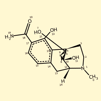 CN1CC[C@]23CC(O)C=C[C@@]2(O)[C@H]1Cc1ccc(C(N)=O)c(O)c13